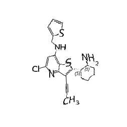 CC#Cc1c([C@H]2CCCC[C@@H]2N)sc2c(NCc3cccs3)cc(Cl)nc12